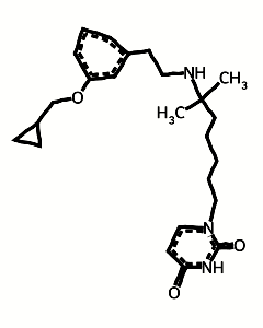 CC(C)(CCCCCn1ccc(=O)[nH]c1=O)NCCc1cccc(OCC2CC2)c1